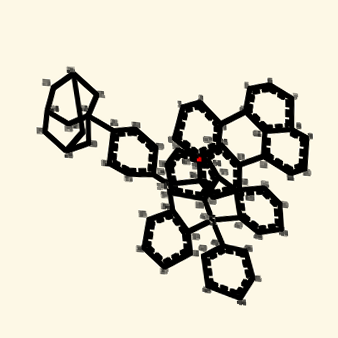 c1ccc(-c2cccc3cccc(-c4ccc(N(c5ccc(C67CC8CC(CC(C8)C6)C7)cc5)c5ccccc5S5(c6ccccc6)c6ccccc6-c6ccccc65)cc4)c23)cc1